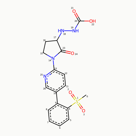 CS(=O)(=O)c1ccccc1-c1ccc(N2CCC(NNC(=O)O)C2=O)nc1